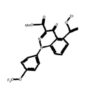 C=C(OCC)c1cccc2c1c(=O)c(C(=O)OC)nn2-c1ccc(OC(F)(F)F)cc1